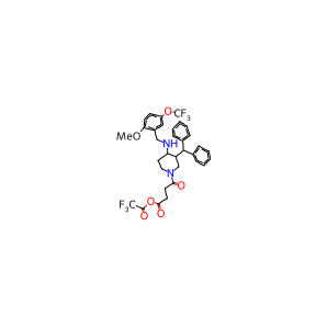 COc1ccc(OC(F)(F)F)cc1CNC1CCN(C(=O)CCC(=O)OC(=O)C(F)(F)F)CC1C(c1ccccc1)c1ccccc1